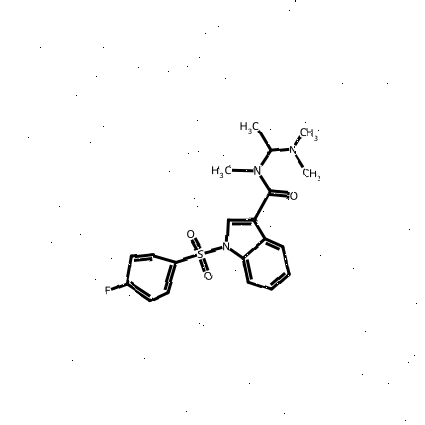 CC(N(C)C)N(C)C(=O)c1cn(S(=O)(=O)c2ccc(F)cc2)c2ccccc12